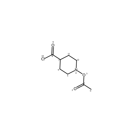 CC(=O)ON1CCC(C(=O)Cl)CC1